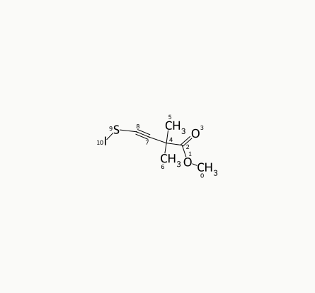 COC(=O)C(C)(C)C#CSI